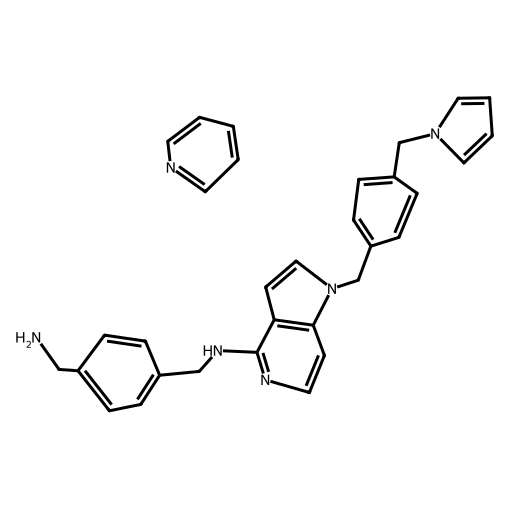 NCc1ccc(CNc2nccc3c2ccn3Cc2ccc(Cn3cccc3)cc2)cc1.c1ccncc1